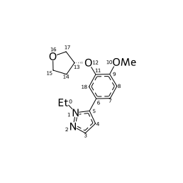 CCn1nccc1-c1ccc(OC)c(O[C@@H]2CCOC2)c1